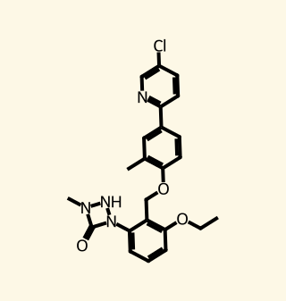 CCOc1cccc(-n2[nH]n(C)c2=O)c1COc1ccc(-c2ccc(Cl)cn2)cc1C